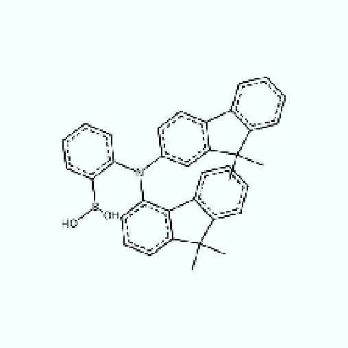 CC1(C)c2ccccc2-c2ccc(N(c3ccccc3B(O)O)c3cccc4c3-c3ccccc3C4(C)C)cc21